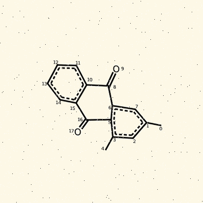 Cc1cc(C)c2c(c1)C(=O)c1ccccc1C2=O